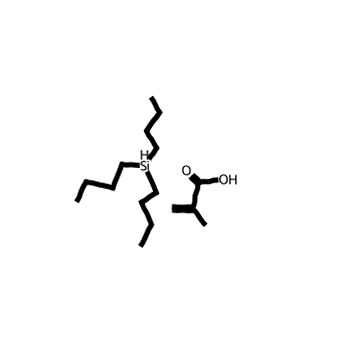 C=C(C)C(=O)O.CCCC[SiH](CCCC)CCCC